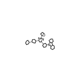 c1ccc(-c2ccc(-c3cc(-c4cccc(-n5c6ccccc6c6ccccc65)c4)nc(-c4ccco4)n3)cc2)cc1